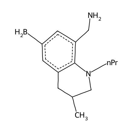 Bc1cc(CN)c2c(c1)CC(C)CN2CCC